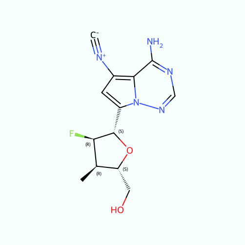 [C-]#[N+]c1cc([C@@H]2O[C@H](CO)[C@@H](C)[C@H]2F)n2ncnc(N)c12